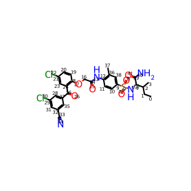 CCC(C)[C@H](NS(=O)(=O)c1ccc(NC(=O)COc2ccc(Cl)cc2C(=O)c2cc(Cl)cc(C#N)c2)c(C)c1)C(N)=O